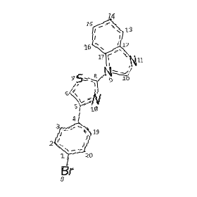 Brc1ccc(-c2csc(-n3cnc4ccccc43)n2)cc1